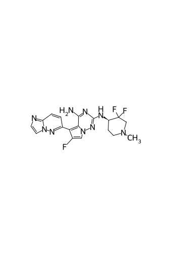 CN1CC[C@@H](Nc2nc(N)c3c(-c4ccc5nccn5n4)c(F)cn3n2)C(F)(F)C1